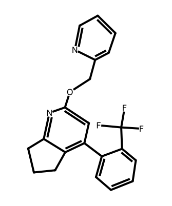 FC(F)(F)c1ccccc1-c1cc(OCc2ccccn2)nc2c1CCC2